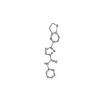 O=C(Nc1ccccn1)c1csc(-c2ccc3c(c2)CCO3)n1